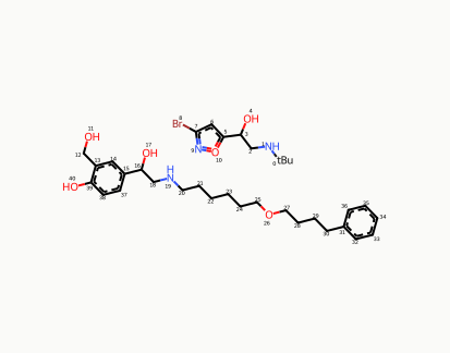 CC(C)(C)NCC(O)c1cc(Br)no1.OCc1cc(C(O)CNCCCCCCOCCCCc2ccccc2)ccc1O